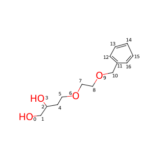 OCC(O)CCOCCOCc1ccccc1